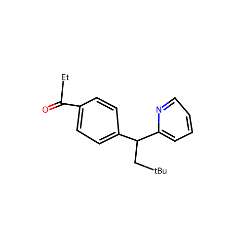 CCC(=O)c1ccc(C(CC(C)(C)C)c2ccccn2)cc1